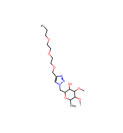 COC1OC(Cn2cc(COCCOCCOCCC(C)C)nn2)C(O)C(OI)C1OI